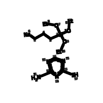 CCO[Si](CC[CH2][Na])(OCC)OCC.Nc1ncnc(S)n1